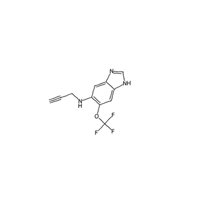 C#CCNc1cc2nc[nH]c2cc1OC(F)(F)F